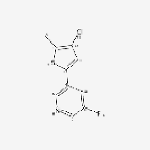 Cc1sc(-c2cncc(F)c2)cc1Cl